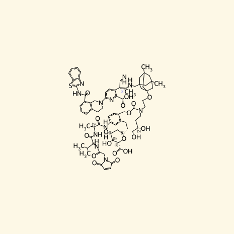 C/C(NCC12CC3(C)CC(C)(C1)CC(OCCN(CC[C@H](O)CO)C(=O)OCc1ccc(NC(=O)[C@H](C)NC(=O)[C@@H](NC(=O)CN4C(=O)C=CC4=O)C(C)C)cc1CC[C@H]1C[C@@H](O)[C@H](O)[C@@H](C(=O)O)O1)(C3)C2)=C(/C=N)c1ccc(N2CCc3cccc(C(=O)Nc4nc5ccccc5s4)c3C2)nc1C(=O)O